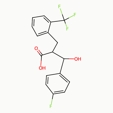 O=C(O)C(Cc1ccccc1C(F)(F)F)C(O)c1ccc(F)cc1